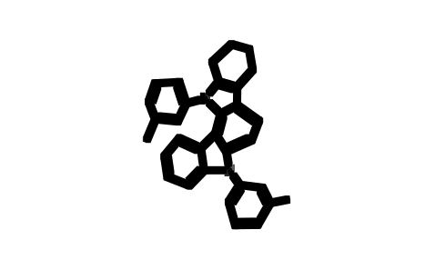 Cc1cccc(-n2c3c(c4ccc5c(c6ccccc6n5-c5cccc(C)c5)c42)CCCC3)c1